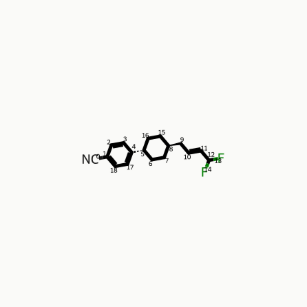 N#Cc1ccc([C@H]2CC[C@H](CC=CC(F)F)CC2)cc1